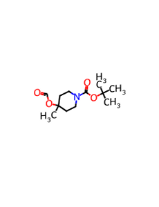 CC(C)(C)OC(=O)N1CCC(C)(OC=O)CC1